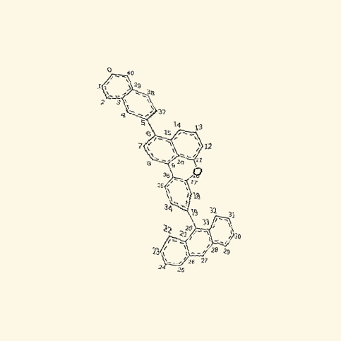 c1ccc2cc(-c3ccc4c5c(cccc35)Oc3cc(-c5c6ccccc6cc6ccccc56)ccc3-4)ccc2c1